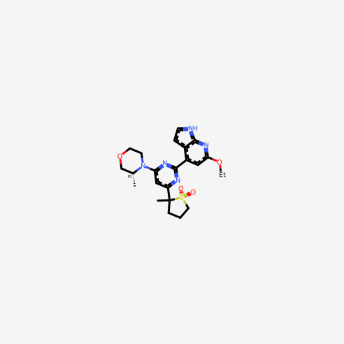 CCOc1cc(-c2nc(N3CCOC[C@H]3C)cc(C3(C)CCCS3(=O)=O)n2)c2cc[nH]c2n1